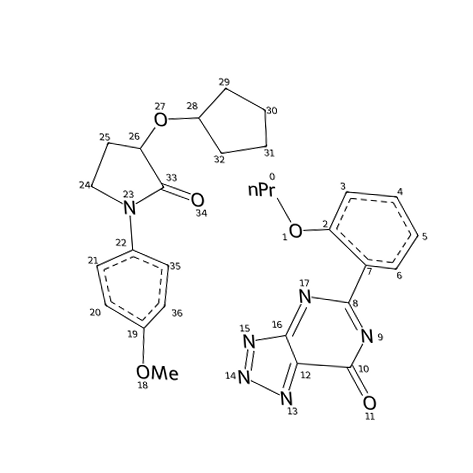 CCCOc1ccccc1C1=NC(=O)C2=NN=NC2=N1.COc1ccc(N2CCC(OC3CCCC3)C2=O)cc1